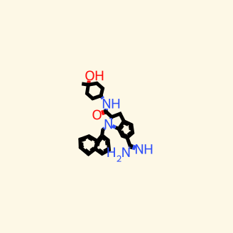 CC1(O)CCC(NC(=O)C2Cc3ccc(C(=N)N)cc3N2Cc2cccc3ccccc23)CC1